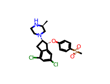 C[C@H]1CN([C@H]2Cc3c(Cl)cc(Cl)cc3[C@H]2Oc2ccc(S(C)(=O)=O)cc2)CCN1